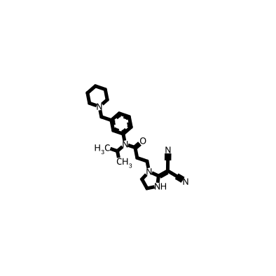 CC(C)N(C(=O)CCN1CCNC1=C(C#N)C#N)c1cccc(CN2CCCCC2)c1